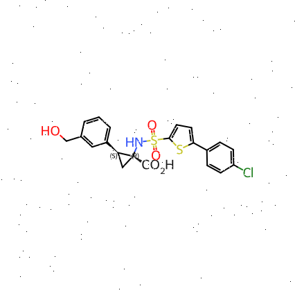 O=C(O)[C@@]1(NS(=O)(=O)c2ccc(-c3ccc(Cl)cc3)s2)C[C@H]1c1cccc(CO)c1